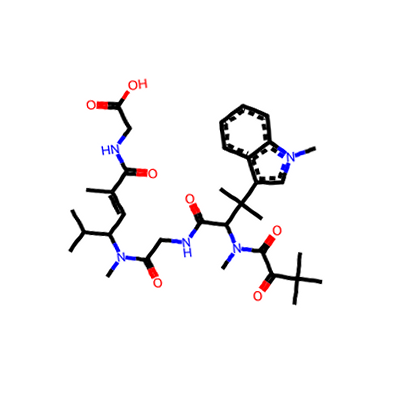 CC(=CC(C(C)C)N(C)C(=O)CNC(=O)C(N(C)C(=O)C(=O)C(C)(C)C)C(C)(C)c1cn(C)c2ccccc12)C(=O)NCC(=O)O